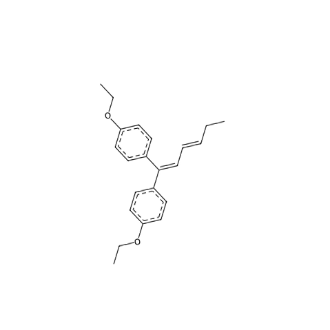 CCC=CC=C(c1ccc(OCC)cc1)c1ccc(OCC)cc1